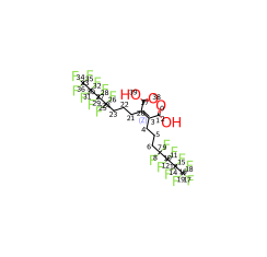 O=C(O)/C(CCCC(F)(F)C(F)(F)C(F)(F)C(F)(F)F)=C(/CCCC(F)(F)C(F)(F)C(F)(F)C(F)(F)F)C(=O)O